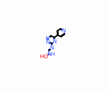 ON/C=N/c1nncc(-c2ccncc2)n1